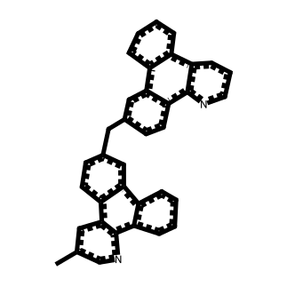 Cc1cnc2c3ccccc3c3cc(Cc4ccc5c(c4)c4ccccc4c4cccnc45)ccc3c2c1